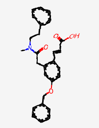 CN(CCc1ccccc1)C(=O)Cc1cc(OCc2ccccc2)ccc1/C=C/C(=O)O